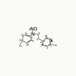 Cc1ccc(CCN(N=O)C2=CCC(C)C=C2)cn1